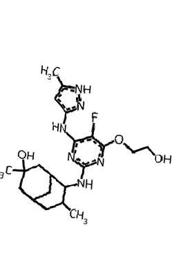 Cc1cc(Nc2nc(NC3C(C)CC4CC3CC(C)(O)C4)nc(OCCO)c2F)n[nH]1